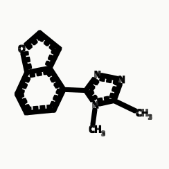 Cc1nnc(-c2cccc3occc23)n1C